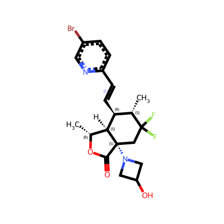 C[C@H]1OC(=O)[C@]2(N3CC(O)C3)CC(F)(F)[C@@H](C)[C@H](/C=C/c3ccc(Br)cn3)[C@H]12